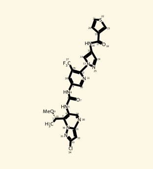 CO[C@@H](C)c1c(NC(=O)Nc2cnc(-n3cc(NC(=O)c4ccsc4)cn3)c(C(F)(F)F)c2)cnc2cc(Cl)nn12